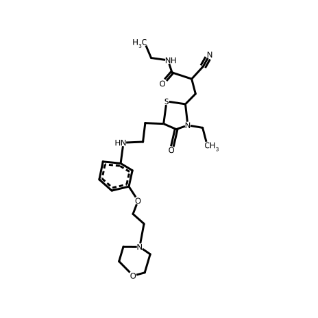 CCNC(=O)C(C#N)CC1SC(CCNc2cccc(OCCN3CCOCC3)c2)C(=O)N1CC